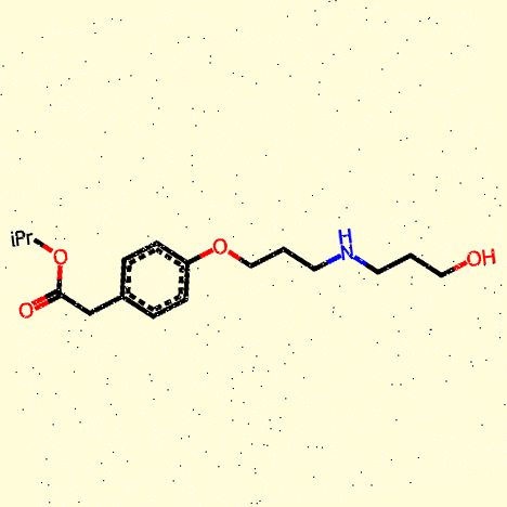 CC(C)OC(=O)Cc1ccc(OCCCNCCCO)cc1